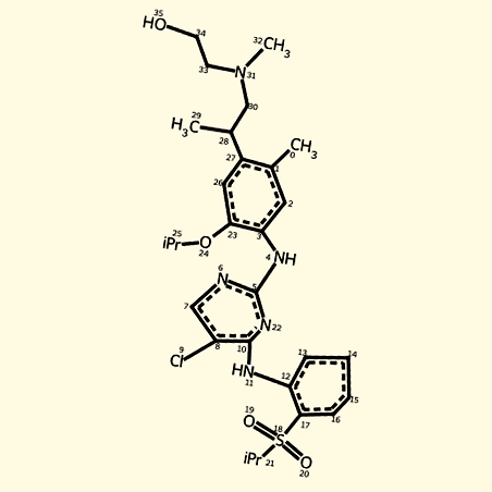 Cc1cc(Nc2ncc(Cl)c(Nc3ccccc3S(=O)(=O)C(C)C)n2)c(OC(C)C)cc1C(C)CN(C)CCO